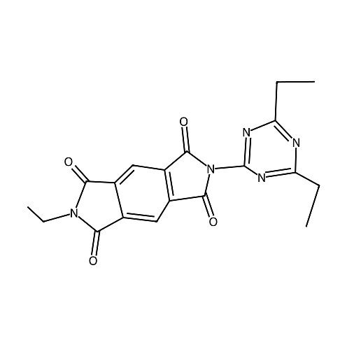 CCc1nc(CC)nc(-n2c(=O)c3cc4c(=O)n(CC)c(=O)c4cc3c2=O)n1